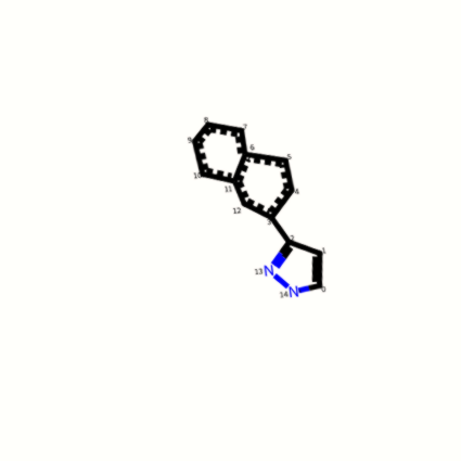 C1=CC(c2ccc3ccccc3c2)=N[N]1